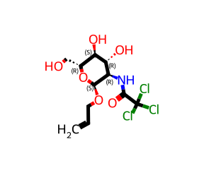 C=CCO[C@H]1O[C@H](CO)[C@@H](O)[C@H](O)[C@H]1NC(=O)C(Cl)(Cl)Cl